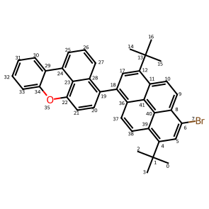 CC(C)(C)c1cc(Br)c2ccc3c(C(C)(C)C)cc(-c4ccc5c6c(cccc46)-c4ccccc4O5)c4ccc1c2c43